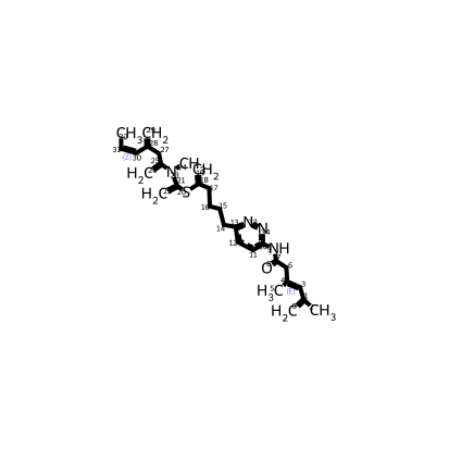 C=C(C)/C=C(\C)CC(=O)Nc1ccc(CCCCC(=C)SC(=C)N(C)C(=C)CC(=C)/C=C\C)nn1